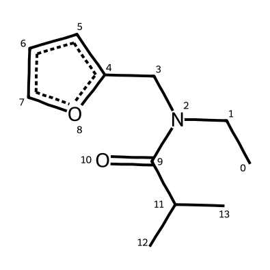 CCN(Cc1ccco1)C(=O)C(C)C